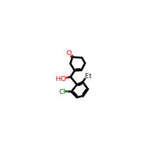 CCc1c[c]cc(Cl)c1C(O)C1=CCCC(=O)C1